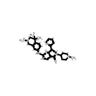 CN1CCC(n2nc(-c3ccccn3)c3nc(Nc4ccc5c(c4)CN(C)CC5(C)C)ncc3c2=O)CC1